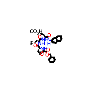 CC(C)C[C@H](NC(=O)C(=O)OCc1ccccc1)C(=O)N[C@@H](CC(C)C)C(=O)N[C@@H](CCC(=O)O)C(=O)Nc1ccc2ccccc2c1